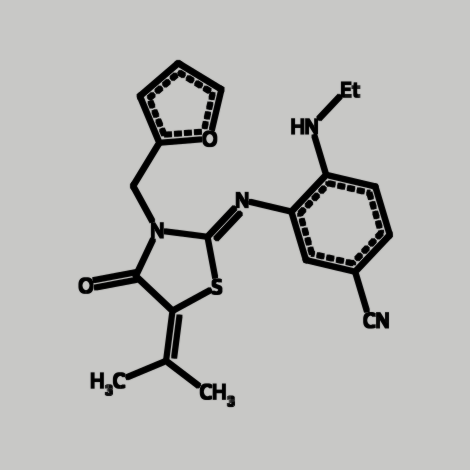 CCNc1ccc(C#N)cc1N=C1SC(=C(C)C)C(=O)N1Cc1ccco1